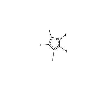 Ic1c(I)c(I)[o+](I)c1I